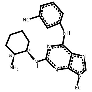 CCn1cnc2c(Nc3cccc(C#N)c3)nc(N[C@@H]3CCCC[C@@H]3N)nc21